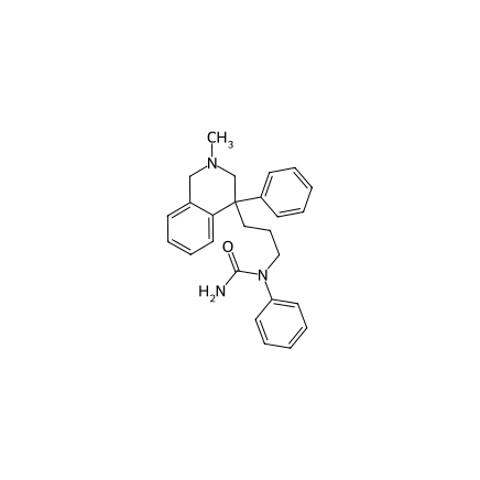 CN1Cc2ccccc2C(CCCN(C(N)=O)c2ccccc2)(c2ccccc2)C1